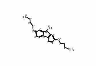 NCCCOc1ccc2c(c1)C(O)c1cc(OCCCN)ccc1-2